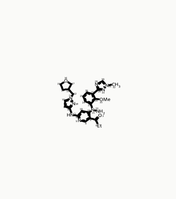 CCC(=O)c1cnc(Nc2ccn(CC3CCOC3)n2)cc1N(N)c1cccc(-c2ncn(C)n2)c1OC